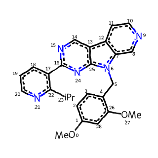 COc1ccc(Cn2c3cnccc3c3cnc(-c4cccnc4C(C)C)nc32)c(OC)c1